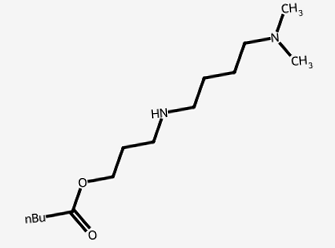 CCCCC(=O)OCCCNCCCCN(C)C